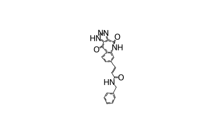 O=C(C=Cc1ccc2c(=O)c3[nH]nnc3c(=O)[nH]c2c1)NCc1ccccc1